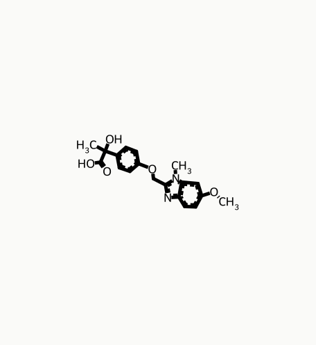 COc1ccc2nc(COc3ccc(C(C)(O)C(=O)O)cc3)n(C)c2c1